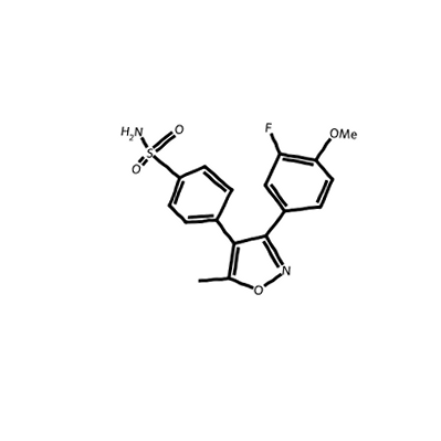 COc1ccc(-c2noc(C)c2-c2ccc(S(N)(=O)=O)cc2)cc1F